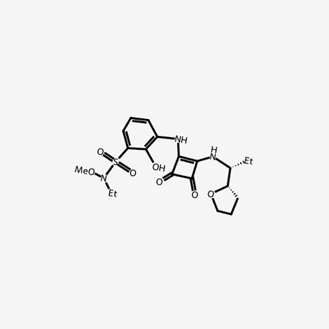 CC[C@@H](Nc1c(Nc2cccc(S(=O)(=O)N(CC)OC)c2O)c(=O)c1=O)[C@@H]1CCCO1